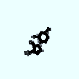 CC(=O)N1CC[C@H](n2ncc(C)c2Cl)[C@@H](F)C1